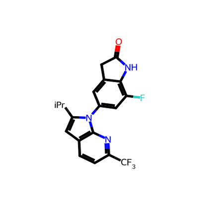 CC(C)c1cc2ccc(C(F)(F)F)nc2n1-c1cc(F)c2c(c1)CC(=O)N2